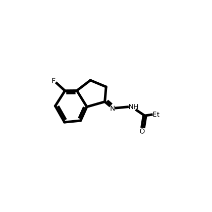 CCC(=O)NN=C1CCc2c(F)cccc21